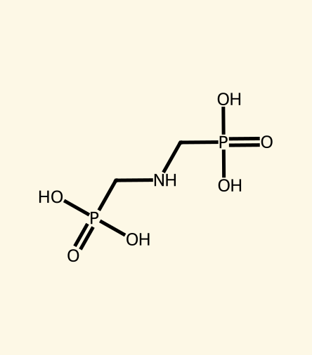 O=P(O)(O)CNCP(=O)(O)O